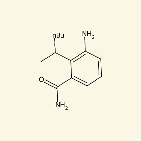 CCCCC(C)c1c(N)cccc1C(N)=O